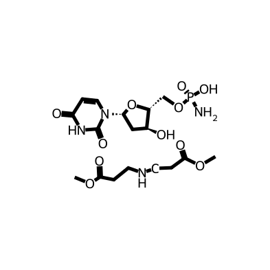 COC(=O)CCNCCC(=O)OC.NP(=O)(O)OC[C@H]1O[C@@H](n2ccc(=O)[nH]c2=O)C[C@@H]1O